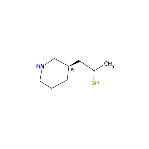 CC(S)C[C@H]1CCCNC1